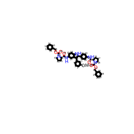 COc1cccc(-c2c(-c3ccc(NC(=O)[C@@H]4CCCN4C(=O)OCc4ccccc4)cc3)[nH]c3ccc(NC(=O)[C@@H]4CCCN4C(=O)OCc4ccccc4)cc23)c1